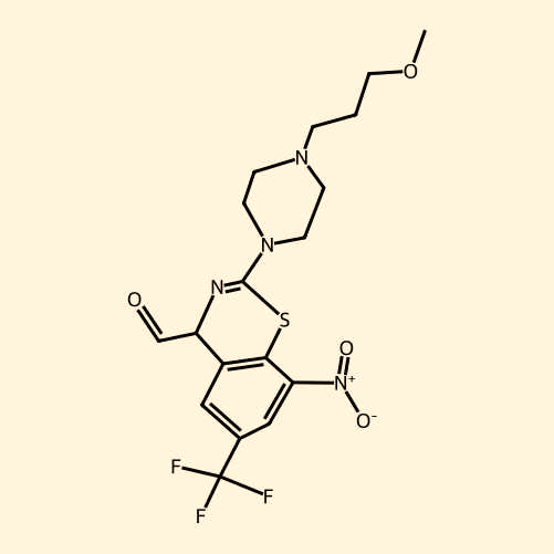 COCCCN1CCN(C2=NC(C=O)c3cc(C(F)(F)F)cc([N+](=O)[O-])c3S2)CC1